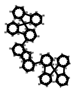 c1ccc2c(c1)-c1ccccc1C21c2ccccc2-c2c(-c3cccc4c3sc3c(-c5cccc6c5-c5ccccc5C65c6ccccc6-c6ccccc65)cccc34)cccc21